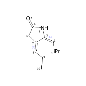 CC(C)/C=C1/NC(=O)C/C1=C/CI